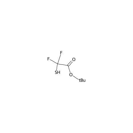 CC(C)(C)OC(=O)C(F)(F)S